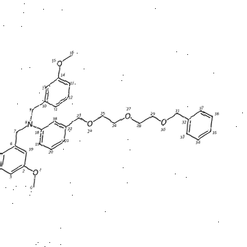 COc1cccc(CN(Cc2cccc(OC)c2)c2cccc(COCCOCCOCc3ccccc3)c2)c1